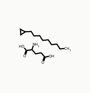 CCCCCCCCCC1CC1.NC(CCC(=O)O)C(=O)O